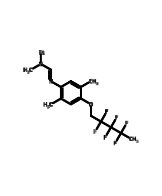 CCN(C)/C=N/c1cc(C)c(OCC(F)(F)C(F)(F)C(C)(F)F)cc1C